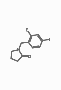 O=C1CCCN1Cc1ccc(I)cc1F